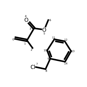 C=C(C)C(=O)OC.ClCc1ccccc1